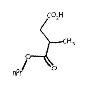 CCCOC(=O)C(C)CC(=O)O